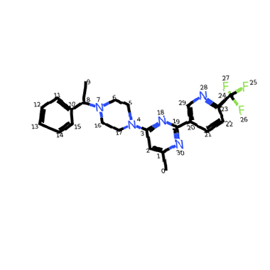 Cc1cc(N2CCN(C(C)c3ccccc3)CC2)nc(-c2ccc(C(F)(F)F)nc2)n1